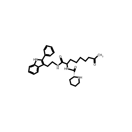 CC(=O)CCCCCC(NC(=O)[C@H]1CCCCN1)C(=O)NCCc1c(-c2ccccc2)[nH]c2ccccc12